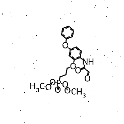 COOP(=O)(CCCOc1cc(Oc2ccccc2)ccc1NC(=O)C=O)OOC